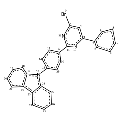 Brc1cc(-c2ccccc2)nc(-c2ccc(-n3c4ccccc4c4ccccc43)cc2)n1